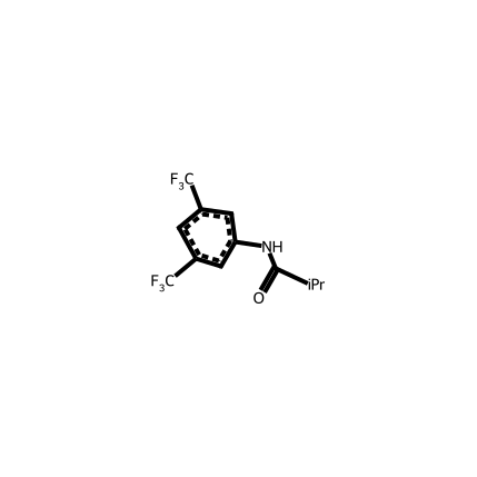 CC(C)C(=O)Nc1cc(C(F)(F)F)cc(C(F)(F)F)c1